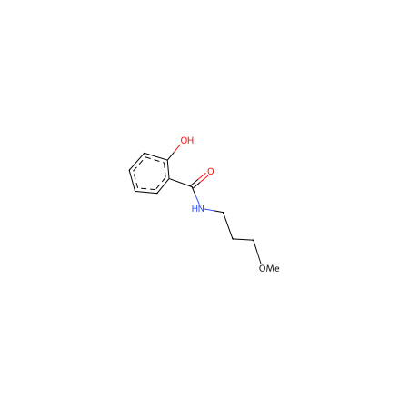 COCCCNC(=O)c1ccccc1O